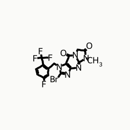 CN1C(=O)Cn2c1nc1nc(Br)n(Cc3cc(F)ccc3C(F)(F)F)c1c2=O